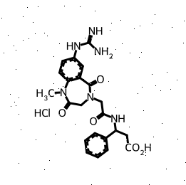 CN1C(=O)CN(CC(=O)NC(CC(=O)O)c2ccccc2)C(=O)c2cc(NC(=N)N)ccc21.Cl